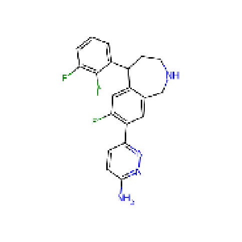 Nc1ccc(-c2cc3c(cc2F)C(c2cccc(F)c2F)CCNC3)nn1